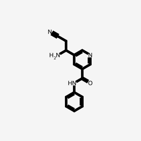 N#CCC(N)c1cncc(C(=O)Nc2ccccc2)c1